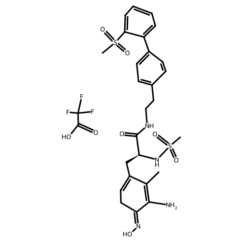 CC1=C(N)C(=NO)CC=C1C[C@H](NS(C)(=O)=O)C(=O)NCCc1ccc(-c2ccccc2S(C)(=O)=O)cc1.O=C(O)C(F)(F)F